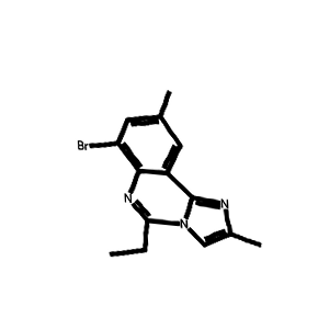 CCc1nc2c(Br)cc(C)cc2c2nc(C)cn12